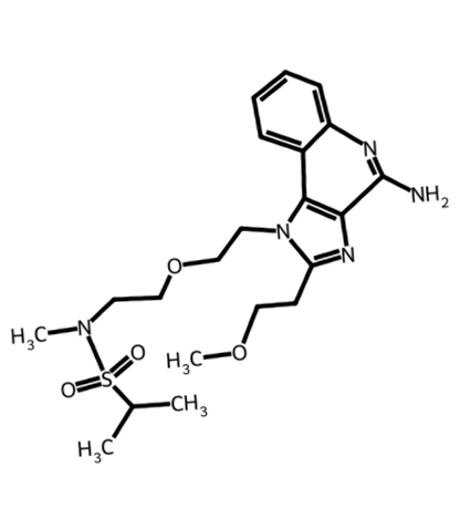 COCCc1nc2c(N)nc3ccccc3c2n1CCOCCN(C)S(=O)(=O)C(C)C